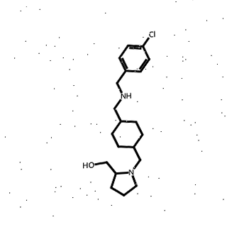 OCC1CCCN1CC1CCC(CNCc2ccc(Cl)cc2)CC1